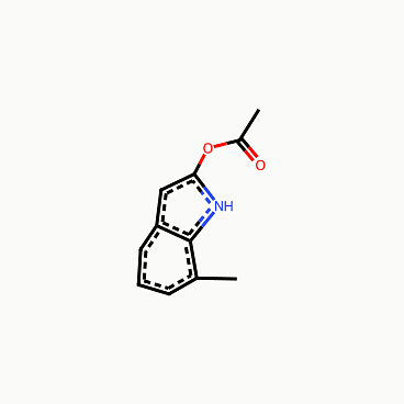 CC(=O)Oc1cc2cccc(C)c2[nH]1